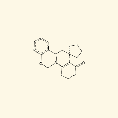 O=C1CCCC2=C1C1(CCCC1)CC1c3ccccc3OCN21